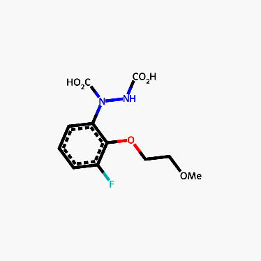 COCCOc1c(F)cccc1N(NC(=O)O)C(=O)O